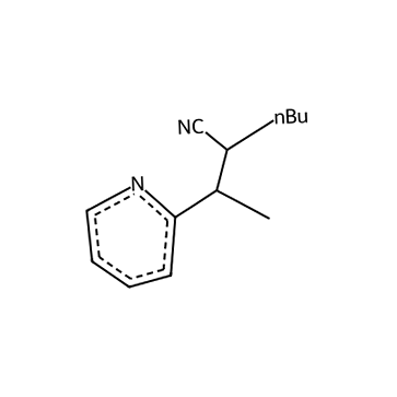 CCCCC(C#N)C(C)c1ccccn1